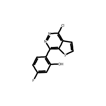 Oc1cc(F)ccc1-c1nnc(Cl)c2ccsc12